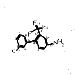 Nc1ccc(-c2cccc(Cl)c2)c(C(F)(F)F)c1